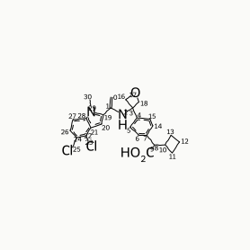 C=C(NC1(c2ccc(C(C(=O)O)C3CCC3)cc2)COC1)c1cc2c(Cl)c(Cl)ccc2n1C